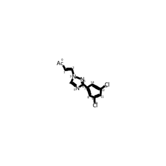 CC(=O)/C=C/n1cnc(-c2cc(Cl)cc(Cl)c2)n1